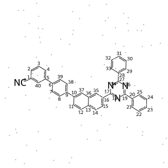 N#Cc1cccc(-c2ccc(-c3ccc4ccc(-c5nc(-c6ccccc6)nc(-c6ccccc6)n5)cc4c3)cc2)c1